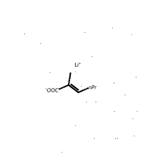 CCCC=C(C)C(=O)[O-].[Li+]